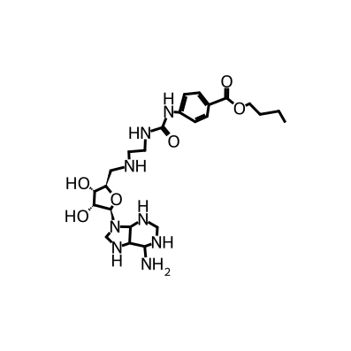 CCCCOC(=O)c1ccc(NC(=O)NCCNC[C@H]2O[C@@H](N3CNC4C(N)NCNC43)[C@H](O)[C@@H]2O)cc1